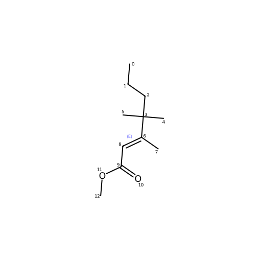 CCCC(C)(C)/C(C)=C/C(=O)OC